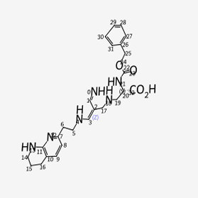 N=C/C(=C\NCCc1ccc2c(n1)NCCC2)CNC[C@H](NC(=O)OCc1ccccc1)C(=O)O